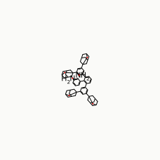 Nc1cccc(-c2c(-c3cc(C45CC6CC(CC(C6)C4)C5)cc(C45CC6CC(CC(C6)C4)C5)c3)cccc2-c2cc(C34CC5CC(CC(C5)C3)C4)cc(C34CC5CC(CC(C5)C3)C4)c2)c1N